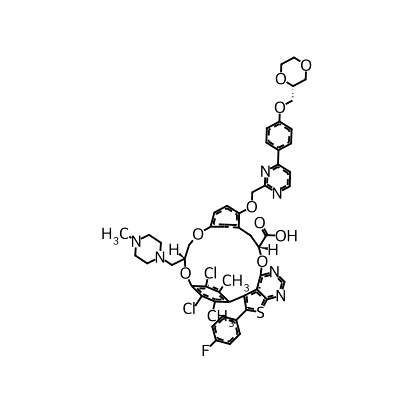 Cc1c(Cl)c2c(Cl)c(C)c1-c1c(-c3ccc(F)cc3)sc3ncnc(c13)O[C@@H](C(=O)O)Cc1cc(ccc1OCc1nccc(-c3ccc(OC[C@H]4COCCO4)cc3)n1)OC[C@@H](CN1CCN(C)CC1)O2